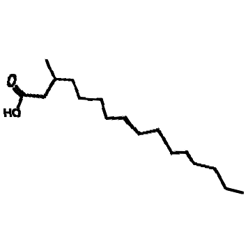 CCCCCCCCCCCCCC(C)CC(=O)O